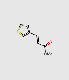 COC(=O)C=Cc1ccsc1